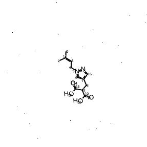 CC(C)=CCn1cc(CC(C(=O)O)C(=O)O)cn1